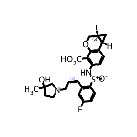 CC1(O)CCN(C/C=C\c2cc(F)ccc2[S+]([O-])Nc2ccc3c(c2C(=O)O)OC[C@]2(I)C[C@H]32)C1